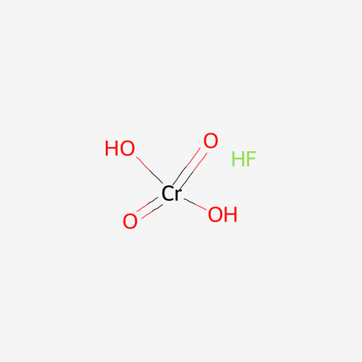 F.[O]=[Cr](=[O])([OH])[OH]